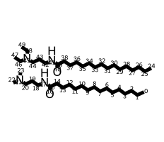 CCCCCCCCCCCCCCCC(=O)NCCCN(C)C.CCCCCCCCCCCCCCCC(=O)NCCCN(CC)CC